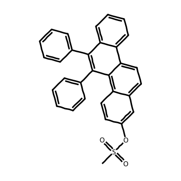 CS(=O)(=O)Oc1ccc2c(ccc3c4ccccc4c(-c4ccccc4)c(-c4ccccc4)c23)c1